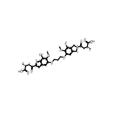 COc1c(OCCCOc2cc3cc(C(=O)C[C@H](C)C(=O)O)sc3c(Cl)c2OC)cc2c(c1F)CN(C(=O)C[C@H](C)C(=O)O)C2